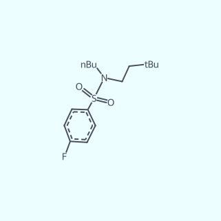 CCCCN(CCC(C)(C)C)S(=O)(=O)c1ccc(F)cc1